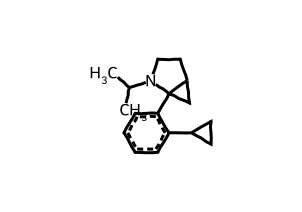 CC(C)N1CCC2CC21c1ccccc1C1CC1